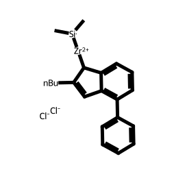 CCCCC1=Cc2c(-c3ccccc3)cccc2[CH]1[Zr+2][Si](C)C.[Cl-].[Cl-]